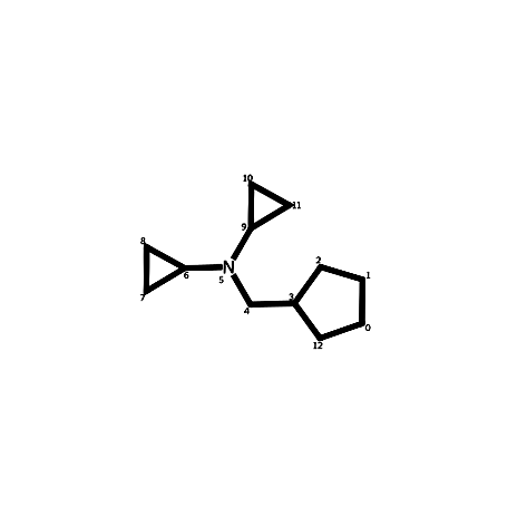 C1CCC(CN(C2CC2)C2CC2)C1